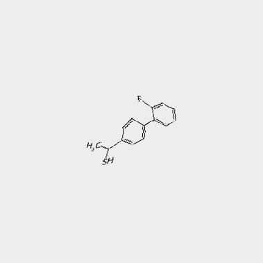 CC(S)c1ccc(-c2ccccc2F)cc1